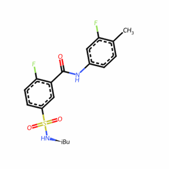 CC[C@H](C)NS(=O)(=O)c1ccc(F)c(C(=O)Nc2ccc(C)c(F)c2)c1